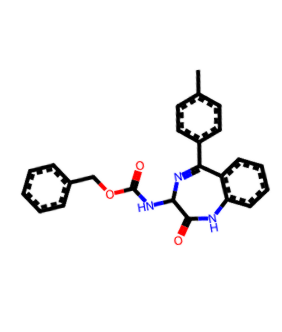 Cc1ccc(C2=NC(NC(=O)OCc3ccccc3)C(=O)Nc3ccccc32)cc1